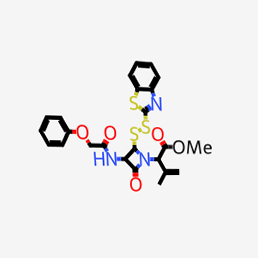 C=C(C)C(C(=O)OC)N1C(=O)C(NC(=O)COc2ccccc2)C1SSc1nc2ccccc2s1